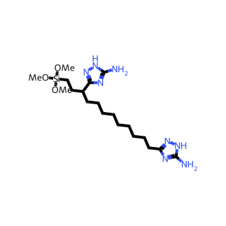 CO[Si](CCC(CCCCCCCCCc1n[nH]c(N)n1)c1n[nH]c(N)n1)(OC)OC